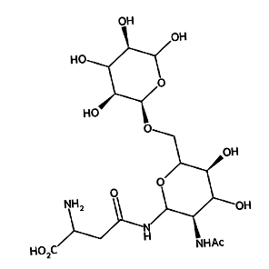 CC(=O)N[C@H]1C(NC(=O)CC(N)C(=O)O)OC(CO[C@@H]2OC(O)[C@H](O)C(O)[C@@H]2O)[C@@H](O)C1O